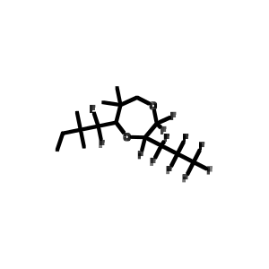 CCC(C)(C)C(F)(F)C1OC(F)(C(F)(F)C(F)(F)C(F)(F)F)C(F)(F)OCC1(C)C